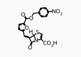 O=C(O)C1=CS[C@H]2/C(=C\c3ccc(C(=O)OCc4ccc([N+](=O)[O-])cc4)o3)C(=O)N12